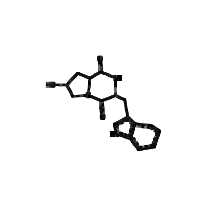 O=C1NC(Cc2c[nH]c3ccccc23)C(=O)N2CC(O)CC12